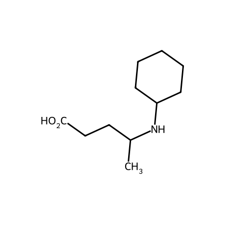 CC(CCC(=O)O)NC1CCCCC1